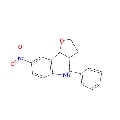 O=[N+]([O-])c1ccc2c(c1)C1OCCC1C(c1ccccc1)N2